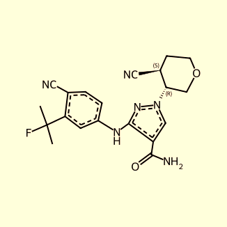 CC(C)(F)c1cc(Nc2nn([C@H]3COCC[C@@H]3C#N)cc2C(N)=O)ccc1C#N